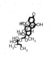 CCC(C)C(O)(O)OCC(=O)[C@]1(O)[C@@H](C)C[C@H]2[C@@H]3C=C(O)C4=CC(=O)C=C[C@]4(C)[C@@]3(F)[C@@H](O)C[C@@]21C